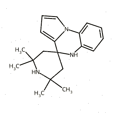 CC1(C)CC2(CC(C)(C)N1)Nc1ccccc1-n1cccc12